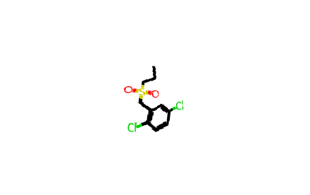 CCCS(=O)(=O)Cc1cc(Cl)ccc1Cl